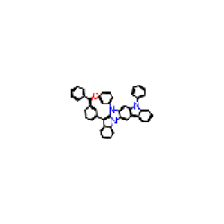 O=C(c1ccccc1)c1cccc(-c2c3ccccc3n3c4cc5c6ccccc6n(-c6ccccc6)c5cc4n(-c4ccccc4)c23)c1